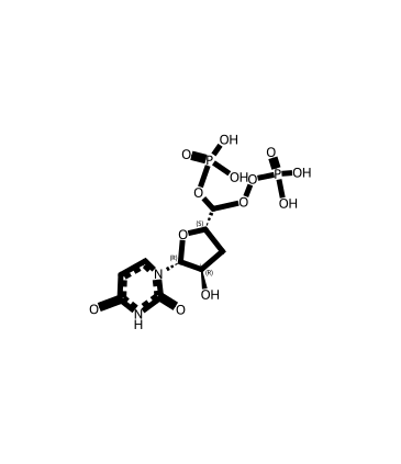 O=c1ccn([C@@H]2O[C@H](C(OOP(=O)(O)O)OP(=O)(O)O)C[C@H]2O)c(=O)[nH]1